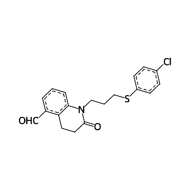 O=Cc1cccc2c1CCC(=O)N2CCCSc1ccc(Cl)cc1